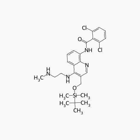 CNCCNc1c(CO[Si](C)(C)C(C)(C)C)cnc2c(NC(=O)c3c(Cl)cccc3Cl)cccc12